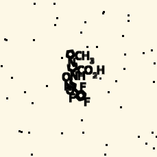 C[C@@H]1CCC[C@H]1N1CC[C@@H](NC(=O)c2cc(-c3c(F)cc(F)cc3F)on2)[C@H](C(=O)O)C1